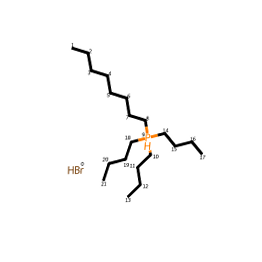 Br.CCCCCCCC[PH](CCCC)(CCCC)CCCC